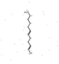 CCC=CCCC=CCCCCOC(C)=O